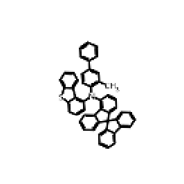 Cc1cc(-c2ccccc2)ccc1N(c1cccc2c1-c1ccccc1C21c2ccccc2-c2ccccc21)c1cccc2sc3ccccc3c12